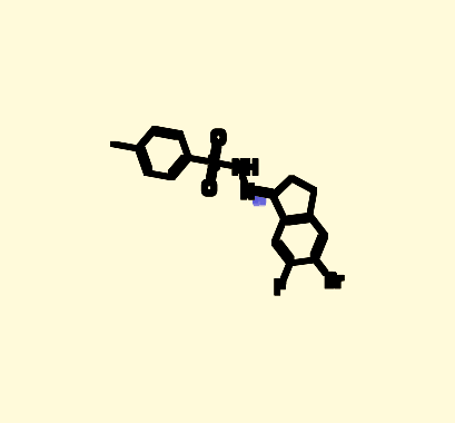 Cc1ccc(S(=O)(=O)N/N=C2\CCc3cc(Br)c(F)cc32)cc1